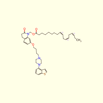 CC/C=C\C/C=C\C/C=C\CCCCCCCC(=O)OCN1C(=O)CCc2ccc(OCCCCN3CCN(c4cccc5sccc45)CC3)cc21